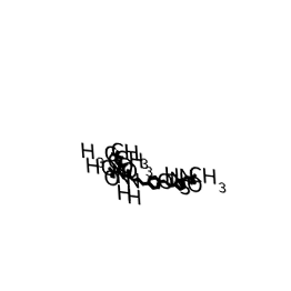 CC(=O)Nc1nc(COc2ccc(CCNC(=O)NN(C(=O)O)C(=O)OC(C)(C)C)cc2)cs1